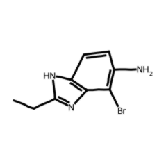 CCc1nc2c(Br)c(N)ccc2[nH]1